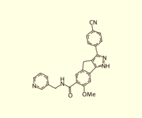 COc1cc2c(cc1C(=O)NCc1cccnc1)Cc1c(-c3ccc(C#N)cc3)n[nH]c1-2